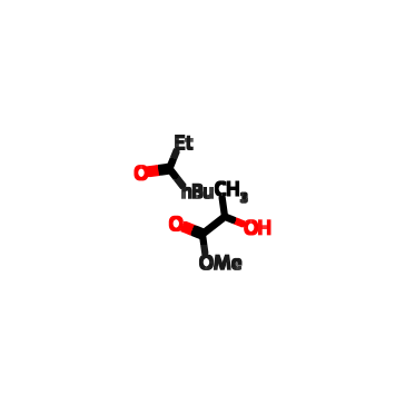 CCCCC(=O)CC.COC(=O)C(C)O